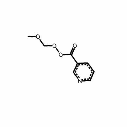 COCOOC(=O)c1cccnc1